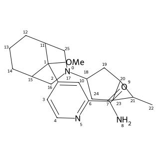 COC1(c2ccnc(C(N)=O)c2)C2CCCC1CN(C1CC3C(C)C3C1)C2